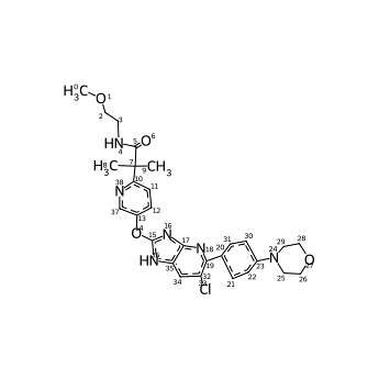 COCCNC(=O)C(C)(C)c1ccc(Oc2nc3nc(-c4ccc(N5CCOCC5)cc4)c(Cl)cc3[nH]2)cn1